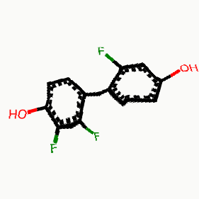 Oc1ccc(-c2ccc(O)c(F)c2F)c(F)c1